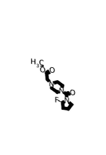 COC(=O)CN1CCN(C(=O)N2CCC[C@@H]2F)CC1